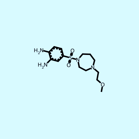 COCCN1CCCN(S(=O)(=O)c2ccc(N)c(N)c2)CC1